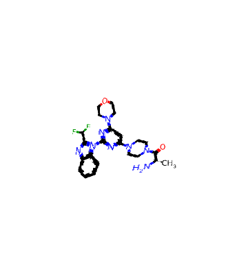 C[C@H](N)C(=O)N1CCN(c2cc(N3CCOCC3)nc(-n3c(C(F)F)nc4ccccc43)n2)CC1